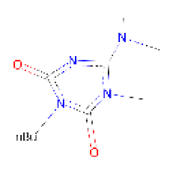 CCCCn1c(=O)nc(N(C)C)n(C)c1=O